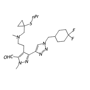 CCCSC1(CN(C)CCc2c(-c3cn(CC4CCC(F)(F)CC4)nn3)nn(C)c2C=O)CC1